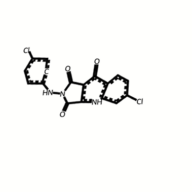 O=C1c2[nH]c3cc(Cl)ccc3c(=O)c2C(=O)N1Nc1ccc(Cl)cc1